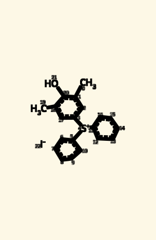 Cc1cc([S+](c2ccccc2)c2ccccc2)cc(C)c1O.[I-]